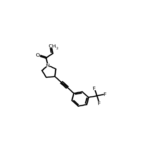 C=CC(=O)N1CCC(C#Cc2cccc(C(F)(F)F)c2)C1